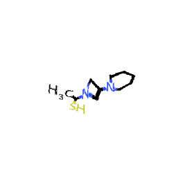 CC(S)N1CC(N2CCCCC2)C1